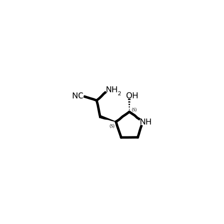 N#CC(N)C[C@@H]1CCN[C@H]1O